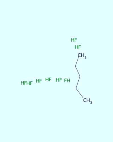 CCCCC.F.F.F.F.F.F.F.F